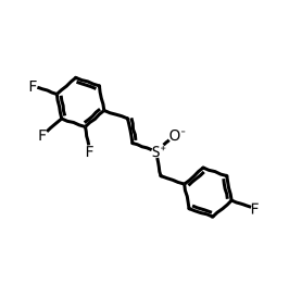 [O-][S+](C=Cc1ccc(F)c(F)c1F)Cc1ccc(F)cc1